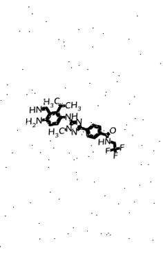 CC(C)c1c(Nc2nc(-c3ccc(C(=O)NCC(F)(F)F)cc3)nn2C)ccc(N)c1C=N